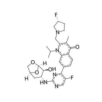 Cc1c(CN2CC[C@@H](F)C2)n(C(C)C)c2cc(-c3nc(N[C@@H]4C[C@H]5CO[C@H](O5)[C@H]4O)ncc3F)ccc2c1=O